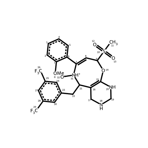 COc1ccccc1/C1=C/C(S(C)(=O)=O)OC2=C(CNCN2)C(Cc2cc(C(F)(F)F)cc(C(F)(F)F)c2)[NH+]1[O-]